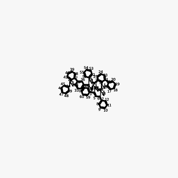 c1ccc(-c2cc(-c3ccccc3)nc(-n3c4ccccc4c4cccc(-c5nnc(-c6ccc7c(c6)c6ccccc6n7-c6ccccc6)n5-c5ccccc5)c43)n2)cc1